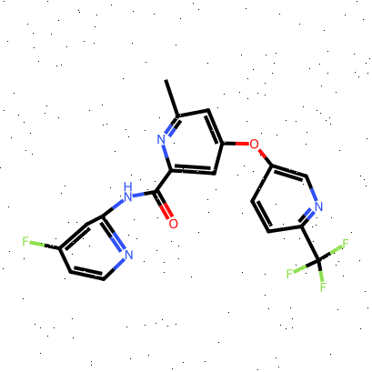 Cc1cc(Oc2ccc(C(F)(F)F)nc2)cc(C(=O)Nc2cc(F)ccn2)n1